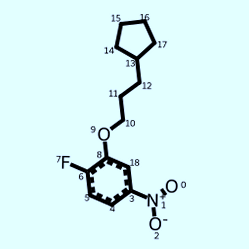 O=[N+]([O-])c1ccc(F)c(OCCCC2CCCC2)c1